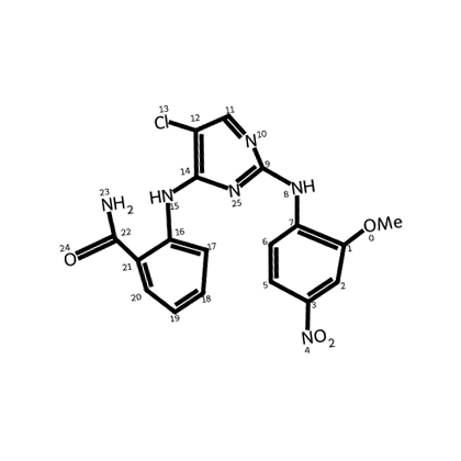 COc1cc([N+](=O)[O-])ccc1Nc1ncc(Cl)c(Nc2ccccc2C(N)=O)n1